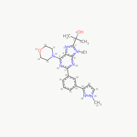 CCn1c(C(C)(C)O)nc2c(N3CCOCC3)nc(-c3cccc(-c4ccn(C)n4)c3)nc21